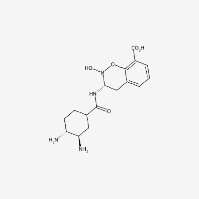 N[C@@H]1CCC(C(=O)N[C@H]2Cc3cccc(C(=O)O)c3OB2O)C[C@H]1N